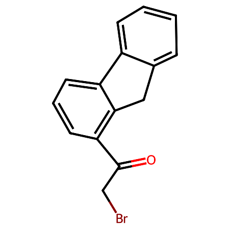 O=C(CBr)c1cccc2c1Cc1ccccc1-2